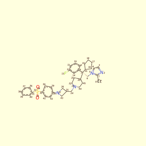 CCc1nccn1C[C@](c1cccc(F)c1)(C1CCCC1)C1CCN(CC2CN(c3ccc(S(=O)(=O)c4ccccc4)cc3)C2)CC1